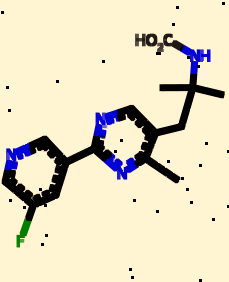 Cc1nc(-c2cncc(F)c2)ncc1CC(C)(C)NC(=O)O